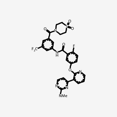 CNc1nccc(-c2cccnc2Oc2ccc(F)c(C(=O)Nc3cc(C(=O)N4CCS(=O)(=O)CC4)cc(C(F)(F)F)c3)c2)n1